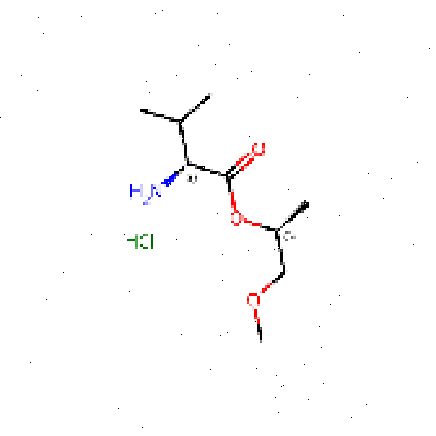 COC[C@H](C)OC(=O)[C@@H](N)C(C)C.Cl